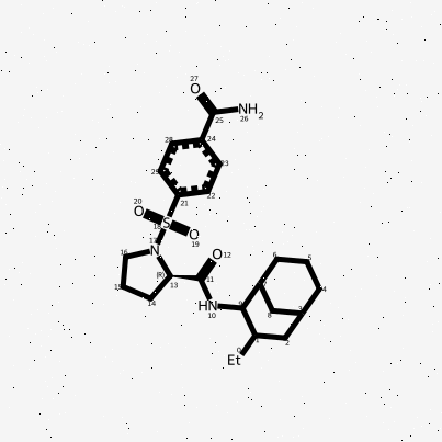 CCC1CC2CCCC(C2)C1NC(=O)[C@H]1CCCN1S(=O)(=O)c1ccc(C(N)=O)cc1